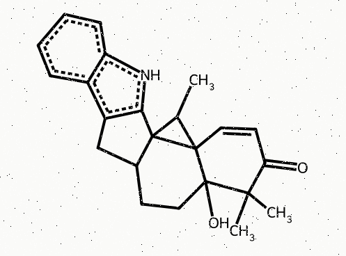 CC1C23c4[nH]c5ccccc5c4CC2CCC2(O)C(C)(C)C(=O)C=CC132